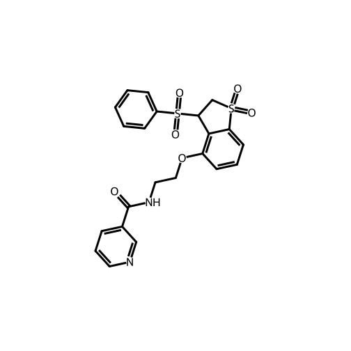 O=C(NCCOc1cccc2c1C(S(=O)(=O)c1ccccc1)CS2(=O)=O)c1cccnc1